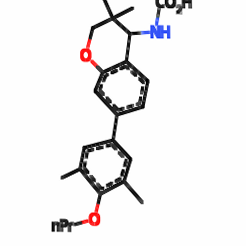 CCCOc1c(C)cc(-c2ccc3c(c2)OCC(C)(C)C3NC(=O)O)cc1C